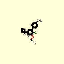 CCOC(=O)C1(c2cc(OCC(F)(F)F)c(Cl)c(-c3ccc(C)cc3)c2)CCC1